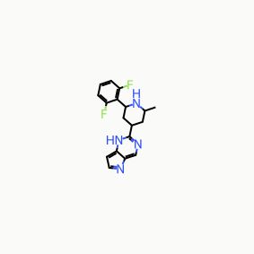 CC1CC(c2ncc3nccc-3[nH]2)CC(c2c(F)cccc2F)N1